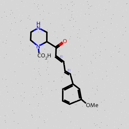 COc1cccc(/C=C/C=C/C(=O)C2CNCCN2C(=O)O)c1